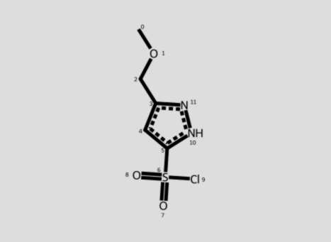 COCc1cc(S(=O)(=O)Cl)[nH]n1